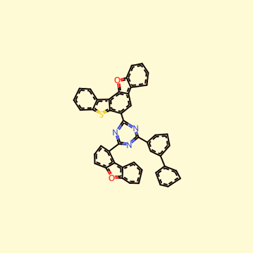 c1ccc(-c2cccc(-c3nc(-c4cc5c6ccccc6oc5c5c4sc4ccccc45)nc(-c4cccc5oc6ccccc6c45)n3)c2)cc1